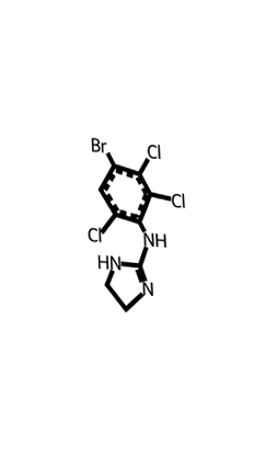 Clc1cc(Br)c(Cl)c(Cl)c1NC1=NCCN1